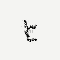 CN(Cc1nn(-c2cnn(-c3ncc(F)c(C4CC4)n3)c2)c2cc(N3CCN(C4(C)COC4)CC3)c(Cl)cc12)c1nc(-n2cc(-n3ncc4cc(Cl)c(N5CCN(C6(C)COC6)CC5)cc43)cn2)ncc1F